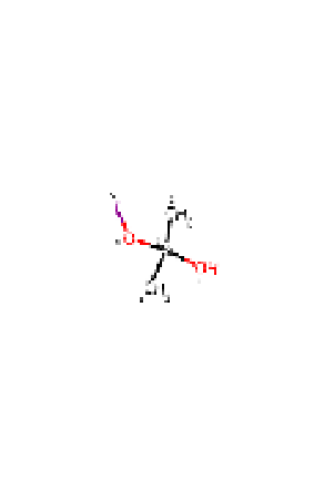 C[Si](C)(O)OI